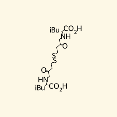 CC[C@H](C)[C@H](NCC(=O)CCSSCCC(=O)CN[C@H](C(=O)O)[C@@H](C)CC)C(=O)O